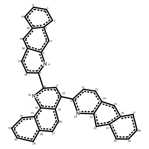 c1ccc2cc3nc(-c4cc(-c5ccc6cc7ccccc7cc6n5)c5ccc6ccccc6c5n4)ccc3cc2c1